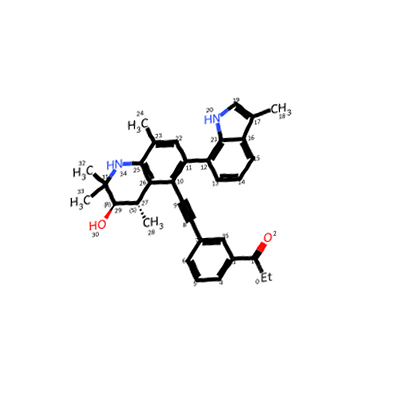 CCC(=O)c1cccc(C#Cc2c(-c3cccc4c(C)c[nH]c34)cc(C)c3c2[C@H](C)[C@@H](O)C(C)(C)N3)c1